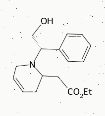 CCOC(=O)CC1CC=CCN1[C@H](CO)c1ccccc1